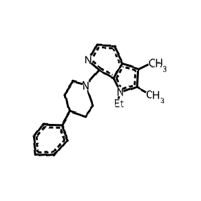 CCn1c(C)c(C)c2ccnc(N3CCC(c4ccccc4)CC3)c21